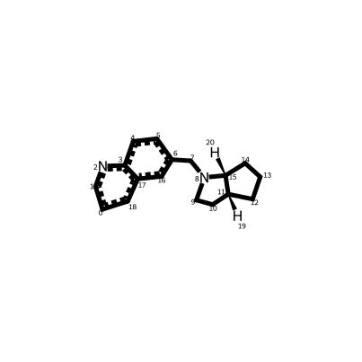 c1cnc2ccc(CN3CC[C@H]4CCC[C@H]43)cc2c1